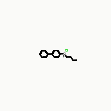 CCCC[SiH](Cl)c1ccc(-c2ccccc2)cc1